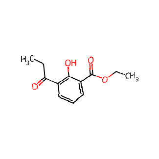 CCOC(=O)c1cccc(C(=O)CC)c1O